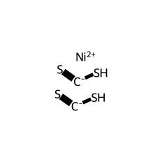 S=[C-]S.S=[C-]S.[Ni+2]